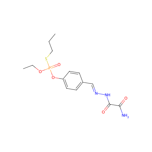 CCCSP(=O)(OCC)Oc1ccc(C=NNC(=O)C(N)=O)cc1